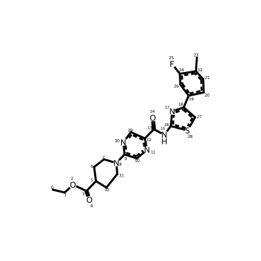 CCOC(=O)C1CCN(c2cnc(C(=O)Nc3nc(-c4ccc(C)c(F)c4)cs3)cn2)CC1